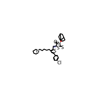 O=C1/C(=C/c2sc(-c3ccc(Cl)cc3)cc2CCCCCN2CCCCC2)SC(=S)N1C1C2CC3CC(C2)CC1C3